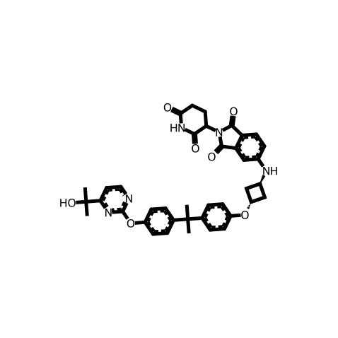 CC(C)(O)c1ccnc(Oc2ccc(C(C)(C)c3ccc(O[C@H]4C[C@H](Nc5ccc6c(c5)C(=O)N(C5CCC(=O)NC5=O)C6=O)C4)cc3)cc2)n1